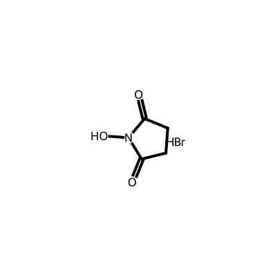 Br.O=C1CCC(=O)N1O